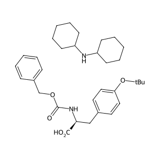 C1CCC(NC2CCCCC2)CC1.CC(C)(C)Oc1ccc(C[C@H](NC(=O)OCc2ccccc2)C(=O)O)cc1